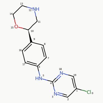 Clc1cnc(Nc2ccc([C@@H]3CNCCO3)cc2)nc1